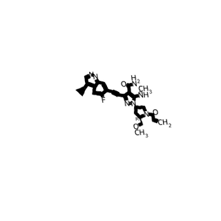 C=CC(=O)N1C[C@@H](n2nc(C#Cc3cc4nncc(C5CC5)c4cc3F)c(C(N)=O)c2NC)C[C@@H]1COC